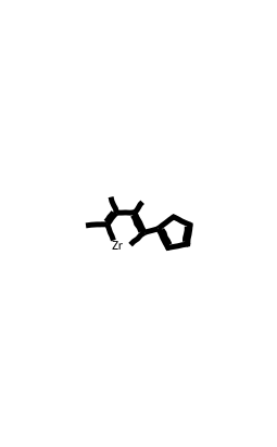 C[C]([Zr])=C(C)C(C)=C(C)C1=CC=CC1